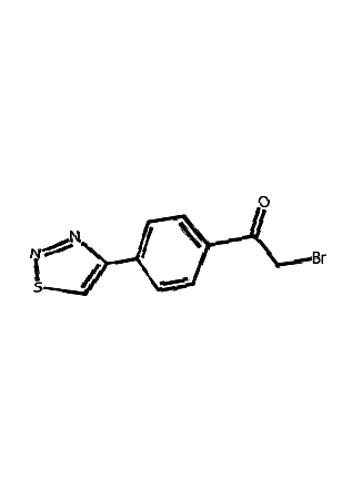 O=C(CBr)c1ccc(-c2csnn2)cc1